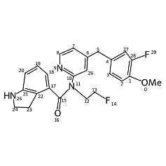 COc1ccc(Cc2ccnc(N(CCF)C(=O)c3cccc4c3CCN4)c2)cc1F